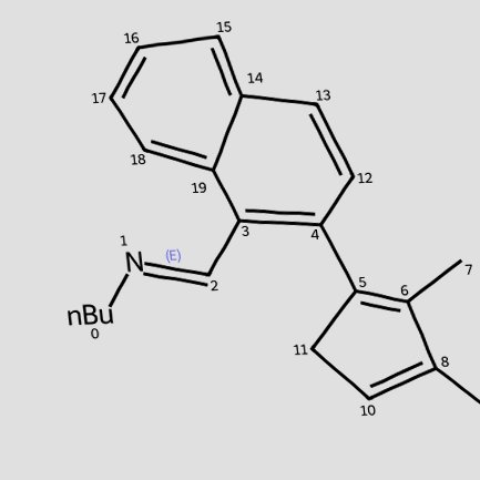 CCCC/N=C/c1c(C2=C(C)C(C)=CC2)ccc2ccccc12